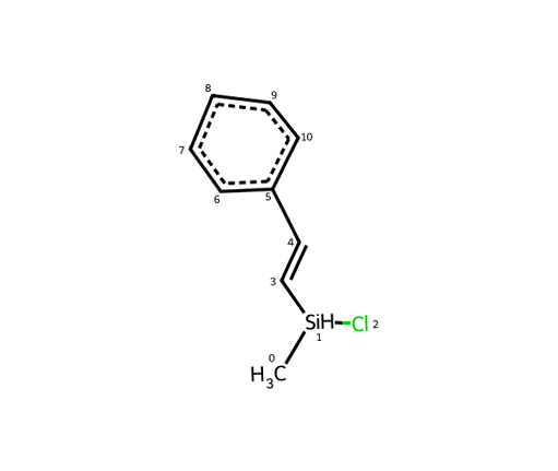 C[SiH](Cl)C=Cc1ccccc1